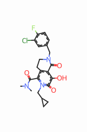 CN(C)C(=O)c1c2c(c(O)c(=O)n1CC1CC1)C(=O)N(Cc1ccc(F)c(Cl)c1)CC2